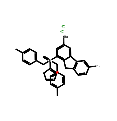 Cl.Cl.[CH2]=[Zr]([CH2]c1ccc(C)cc1)([CH2]c1ccc(C)cc1)([C]1=CC=CC1)[c]1cc(C(C)(C)C)cc2c1Cc1ccc(C(C)(C)C)cc1-2